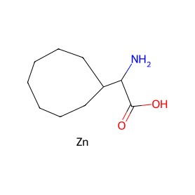 NC(C(=O)O)C1CCCCCCC1.[Zn]